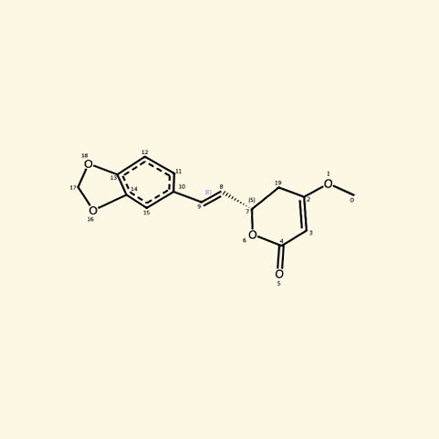 COC1=CC(=O)O[C@H](/C=C/c2ccc3c(c2)OCO3)C1